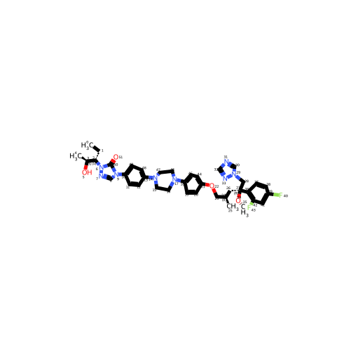 CC[C@@H]([C@H](C)O)n1ncn(-c2ccc(N3CCN(c4ccc(OC[C@H](C)C[C@@](Cn5cncn5)(OC)c5ccc(F)cc5F)cc4)CC3)cc2)c1=O